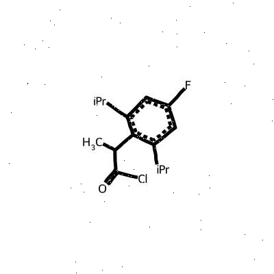 CC(C)c1cc(F)cc(C(C)C)c1C(C)C(=O)Cl